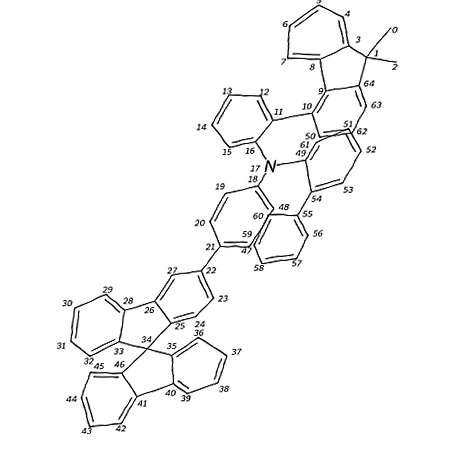 CC1(C)c2ccccc2-c2c(-c3ccccc3N(c3ccc(-c4ccc5c(c4)-c4ccccc4C54c5ccccc5-c5ccccc54)cc3)c3ccccc3-c3ccccc3)cccc21